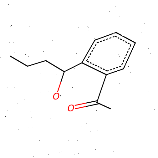 CCCC([O])c1ccccc1C(C)=O